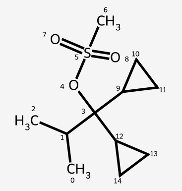 CC(C)C(OS(C)(=O)=O)(C1CC1)C1CC1